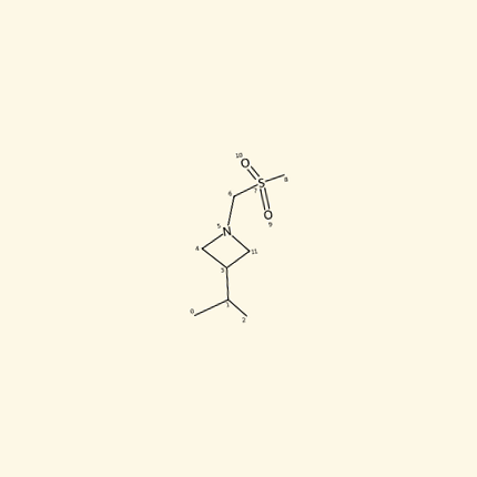 CC(C)C1CN(CS(C)(=O)=O)C1